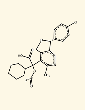 Cc1ncc2c(c1C(O[N+](=O)[O-])(C(=O)O)C1CCCCC1)CO[C@@H]2c1ccc(Cl)cc1